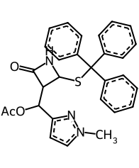 CC(=O)OC(c1ccn(C)n1)C1C(=O)NC1SC(c1ccccc1)(c1ccccc1)c1ccccc1